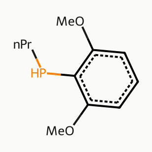 CCCPc1c(OC)cccc1OC